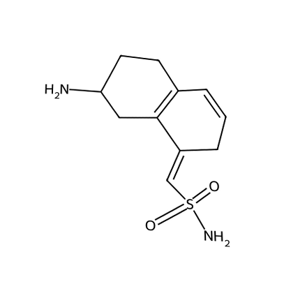 NC1CCC2=C(C1)C(=CS(N)(=O)=O)CC=C2